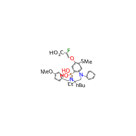 CCCCC1(CC)CN(c2ccccc2)c2cc(SC)c(O/C=C(\F)C(=O)O)cc2S(O)(O)N1Cc1ccc(OC)cc1